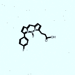 O=C(O)CCc1ccc2n1B(F)[N+]1=C(c3ccc(F)cc3)C=CC1=C2